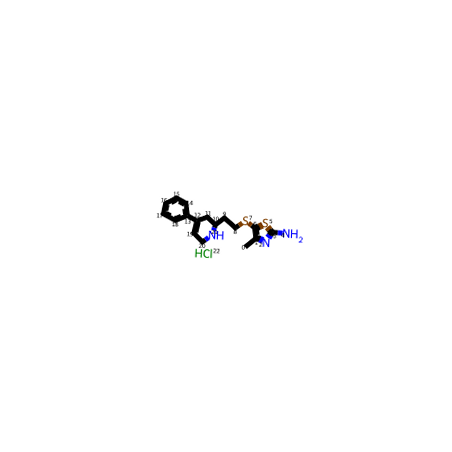 Cc1nc(N)sc1SCCC1CC(c2ccccc2)=CCN1.Cl